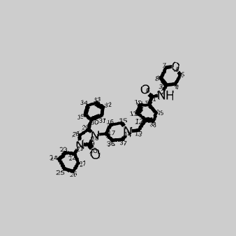 O=C(NC1CCOCC1)c1ccc(CN2CCC(N3C(=O)N(C4CCCCC4)CC3c3ccccc3)CC2)cc1